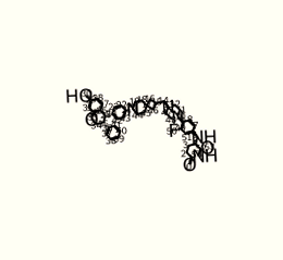 O=C1CCC(Nc2ccc(N3CCN(CC4CC5(CCN(c6ccc([C@H]7c8ccc(O)cc8OC[C@H]7c7ccccc7)cc6)CC5)C4)CC3)c(F)c2)C(=O)N1